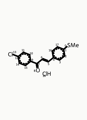 CSc1ccc(C=CC(=O)c2ccc(Cl)cc2)cc1.Cl